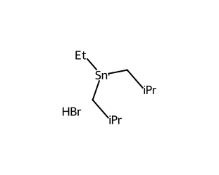 Br.C[CH2][Sn]([CH2]C(C)C)[CH2]C(C)C